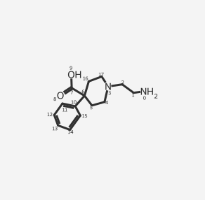 NCCN1CCC(C(=O)O)(c2ccccc2)CC1